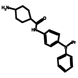 CC(C)N(c1ccccc1)c1ccc(NC(=O)C2CCC(N)CC2)cc1